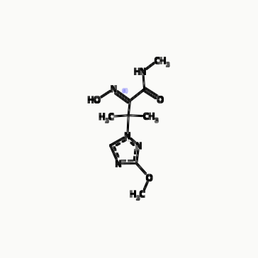 CNC(=O)/C(=N/O)C(C)(C)n1cnc(OC)n1